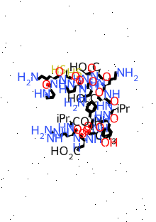 CC(C)[C@H](NC(=O)[C@H](CCCNC(=N)N)NC(=O)[C@H](CCC(=O)O)NC(=O)[C@H](C)NC(=O)[C@H](Cc1ccccc1)NC(=O)[C@H](Cc1ccc(O)cc1)NC(=O)[C@@H](NC(=O)[C@H](CCC(=O)O)NC(=O)[C@H](CCCCN)NC(=O)[C@H](CC(=O)O)NC(=O)[C@H](CS)NC(=O)[C@H](CCCCN)NC(=O)[C@@H]1CCCN1C(=O)[C@H](CS)NC(=O)[C@H](CCCCN)NC(=O)[C@@H]1CCCN1)C(C)C)C(=O)O